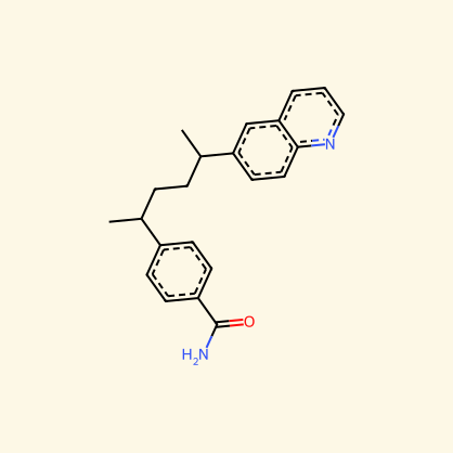 CC(CCC(C)c1ccc2ncccc2c1)c1ccc(C(N)=O)cc1